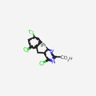 CC(C)c1nc(C(=O)O)nc(Cl)c1Cc1ccc(Cl)cc1Cl